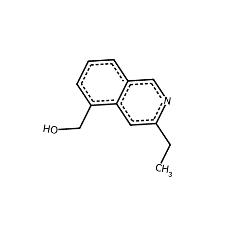 CCc1cc2c(CO)cccc2cn1